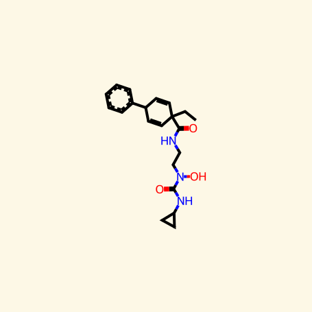 CCC1(C(=O)NCCN(O)C(=O)NC2CC2)C=CC(c2ccccc2)C=C1